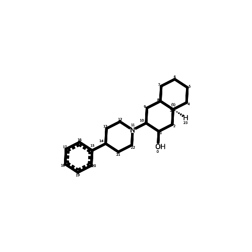 OC1C[C@@H]2CCCCC2CC1N1CCC(c2ccccc2)CC1